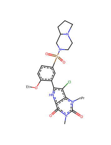 CCCn1c(=O)n(C)c(=O)c2[nH]c(-c3cc(S(=O)(=O)N4CCN5CCCC5C4)ccc3OCC)c(Cl)c21